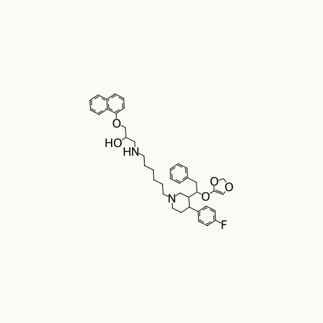 OC(CNCCCCCCN1CCC(c2ccc(F)cc2)C(C(Cc2ccccc2)OC2=COCO2)C1)COc1cccc2ccccc12